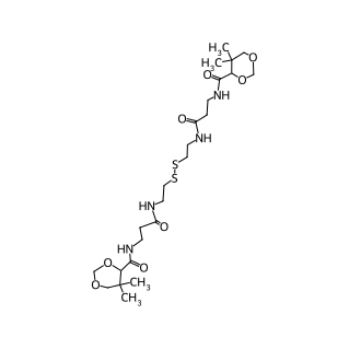 CC1(C)COCOC1C(=O)NCCC(=O)NCCSSCCNC(=O)CCNC(=O)C1OCOCC1(C)C